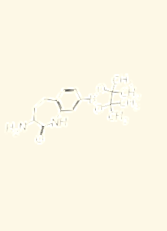 CC1(C)OB(c2ccc3c(c2)NC(=O)C(N)CC3)OC1(C)C